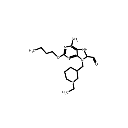 CCCCOc1nc(N)c2c(n1)N(CC1CCCN(CC)C1)C(C=O)N2